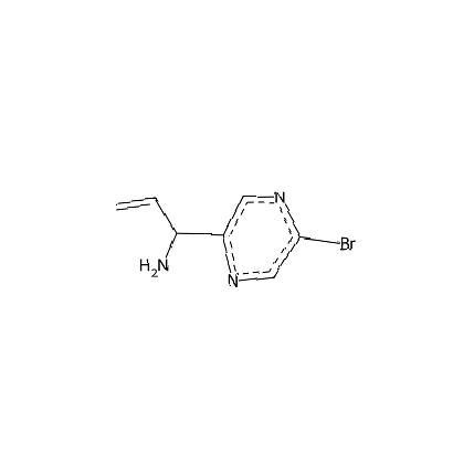 C=CC(N)c1cnc(Br)cn1